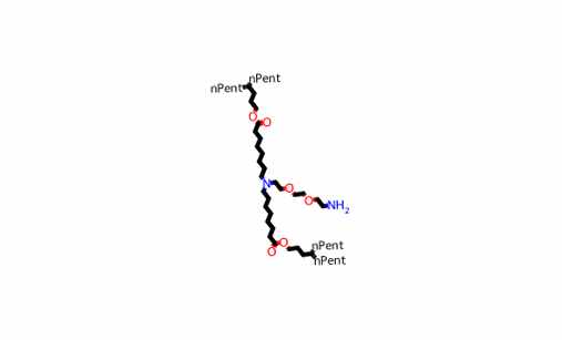 CCCCCC(CCCCC)CCCOC(=O)CCCCCCCN(CCCCCCCC(=O)OCCCC(CCCCC)CCCCC)CCOCCOCCN